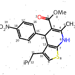 COC(=O)C1=C(C)Nc2scc(CC(C)C)c2C1c1ccc([N+](=O)[O-])cc1